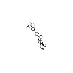 CC(=O)N1c2ccc(-c3ccc(C(=O)CN4CCN(C(=O)OC(C)(C)C)CC4)cc3)cc2CCC1C